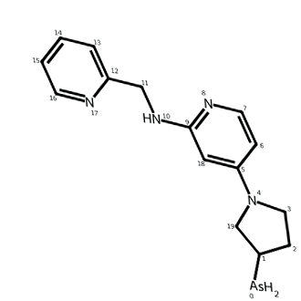 [AsH2]C1CCN(c2ccnc(NCc3ccccn3)c2)C1